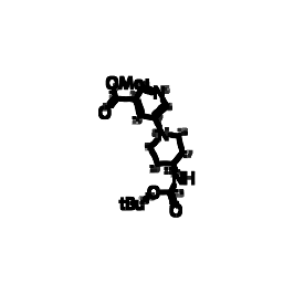 COC(=O)c1cncc(N2CCC(NC(=O)OC(C)(C)C)CC2)c1